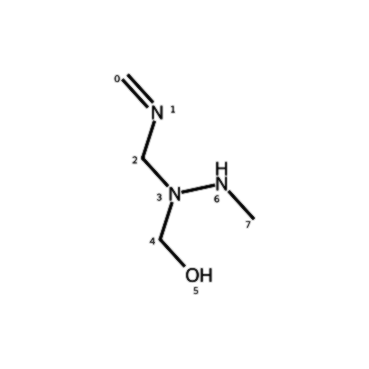 C=NCN(CO)NC